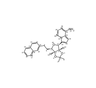 CC1(C)O[C@@H]2[C@H](O1)[C@@H](CCc1ccc3cccnc3c1)O[C@H]2c1ccc2c(N)ncnn12